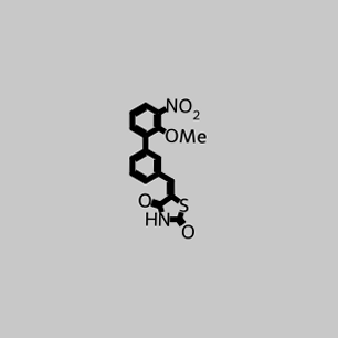 COc1c(-c2cccc(/C=C3/SC(=O)NC3=O)c2)cccc1[N+](=O)[O-]